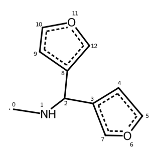 [CH2]NC(c1ccoc1)c1ccoc1